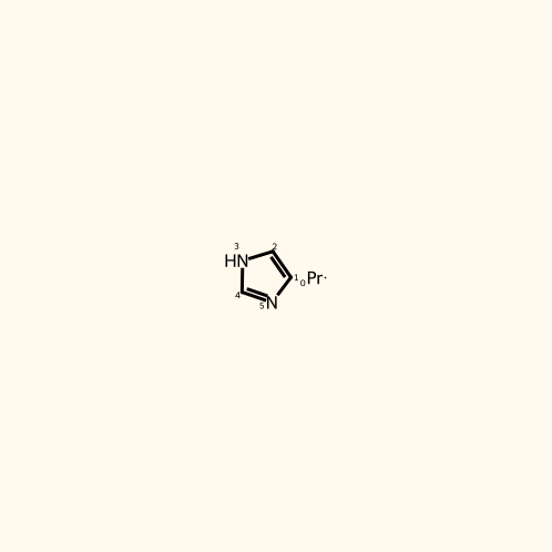 [Pr].c1c[nH]cn1